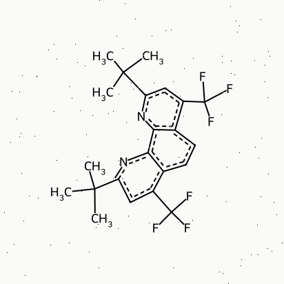 CC(C)(C)c1cc(C(F)(F)F)c2ccc3c(C(F)(F)F)cc(C(C)(C)C)nc3c2n1